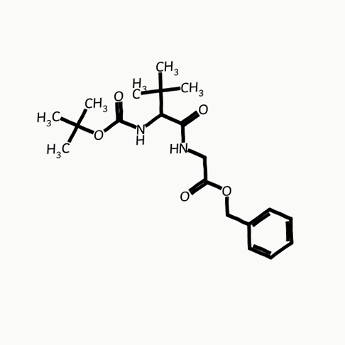 CC(C)(C)OC(=O)NC(C(=O)NCC(=O)OCc1ccccc1)C(C)(C)C